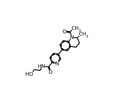 CC(=O)N1c2ccc(-c3ccc(C(=O)NCCO)nc3)cc2CC[C@@H]1C